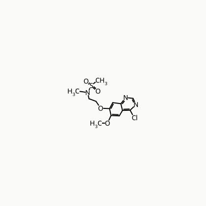 COc1cc2c(Cl)ncnc2cc1OCCN(C)S(C)(=O)=O